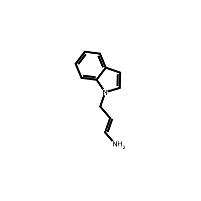 NC=CCn1ccc2ccccc21